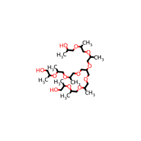 CC(O)COC(C)COC(C)COC(COCC(C)OCC(C)OC(C)CO)COCC(C)OCC(C)OC(C)CO